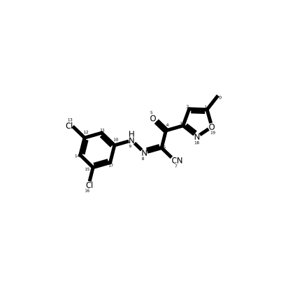 Cc1cc(C(=O)C(C#N)=NNc2cc(Cl)cc(Cl)c2)no1